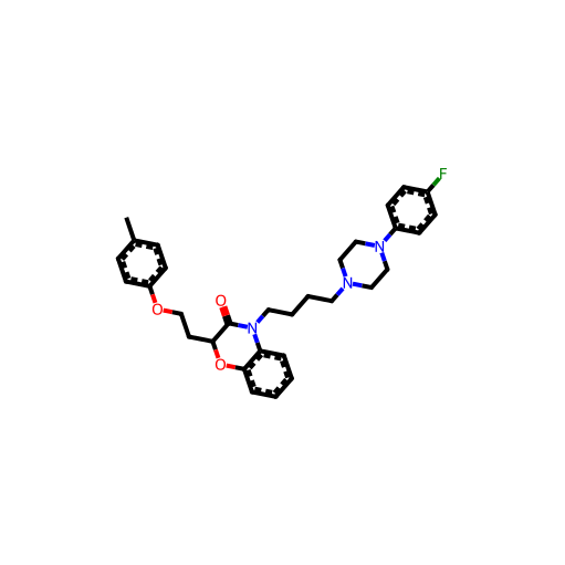 Cc1ccc(OCCC2Oc3ccccc3N(CCCCN3CCN(c4ccc(F)cc4)CC3)C2=O)cc1